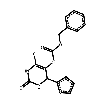 CC1=C(OC(=O)OCc2ccccc2)C(c2cccs2)NC(=O)N1